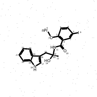 CCCOc1ccc(I)cc1C(=O)N[C@](C)(O)Cc1c[nH]c2ccccc12